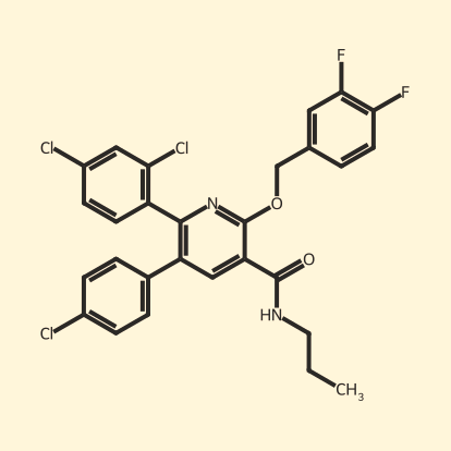 CCCNC(=O)c1cc(-c2ccc(Cl)cc2)c(-c2ccc(Cl)cc2Cl)nc1OCc1ccc(F)c(F)c1